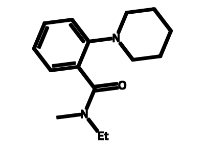 CCN(C)C(=O)c1ccccc1N1CCCCC1